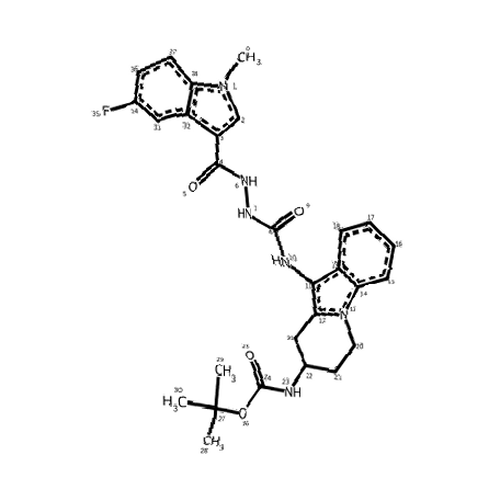 Cn1cc(C(=O)NNC(=O)Nc2c3n(c4ccccc24)CCC(NC(=O)OC(C)(C)C)C3)c2cc(F)ccc21